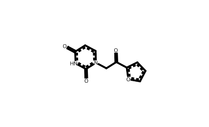 O=C(Cn1ccc(=O)[nH]c1=O)c1ccco1